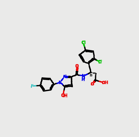 O=C(O)C[C@H](NC(=O)c1cc(O)n(-c2ccc(F)cc2)n1)c1ccc(Cl)cc1Cl